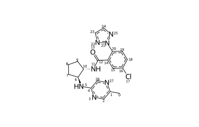 Cc1cnc(N[C@H]2CCC[C@@H]2NC(=O)c2cc(Cl)ccc2-n2nccn2)cn1